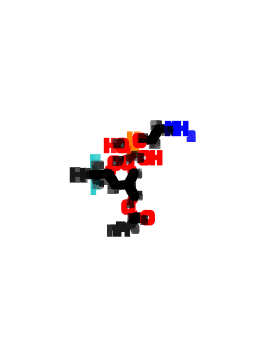 CCCC(=O)OCC(CO[PH](O)(O)OCCN)CC(=O)C(F)(F)CC